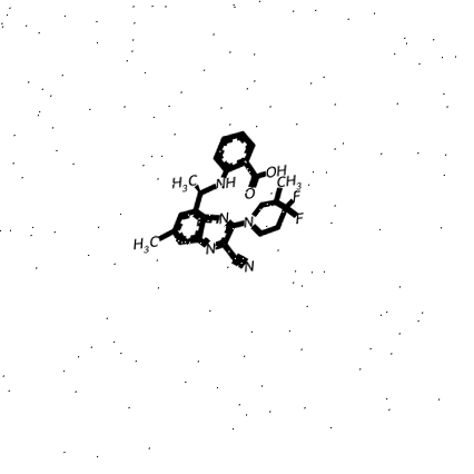 Cc1cc([C@@H](C)Nc2ccccc2C(=O)O)c2nc(N3CCC(F)(F)C(C)C3)c(C#N)nc2c1